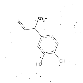 O=S(=O)(O)C(C=S)c1ccc(O)c(O)c1